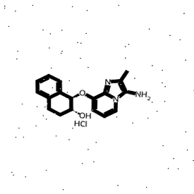 Cc1nc2c(O[C@@H]3c4ccccc4CC[C@H]3O)cccn2c1N.Cl